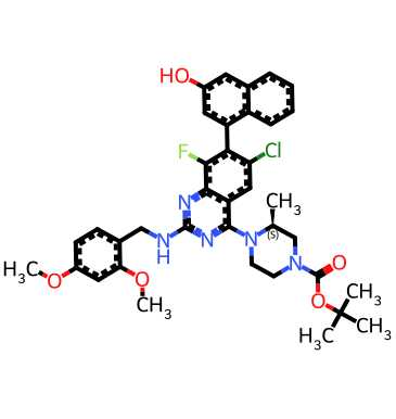 COc1ccc(CNc2nc(N3CCN(C(=O)OC(C)(C)C)C[C@@H]3C)c3cc(Cl)c(-c4cc(O)cc5ccccc45)c(F)c3n2)c(OC)c1